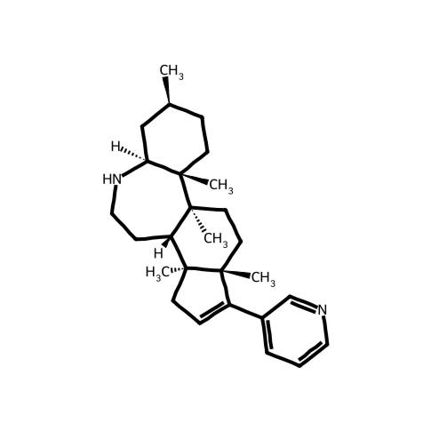 C[C@H]1CC[C@@]2(C)[C@H](C1)NCC[C@@H]1[C@]2(C)CC[C@]2(C)C(c3cccnc3)=CC[C@@]12C